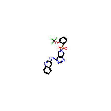 O=S(=O)(c1ccccc1OC(F)(F)F)N1Cc2ncnc(Nc3cnc4ccccc4c3)c2C1